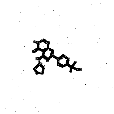 Cn1cnc2cc(-c3ccc(C(C)(C)O)nc3)nc(N[C@@H]3CCOC3)c2c1=O